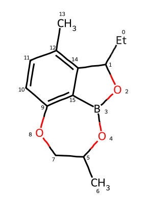 CCC1OB2OC(C)COc3ccc(C)c1c32